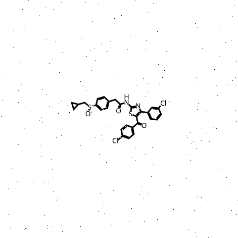 O=C(Cc1ccc([S+]([O-])CC2CC2)cc1)Nc1nc(-c2cccc(Cl)c2)c(C(=O)c2ccc(Cl)cc2)s1